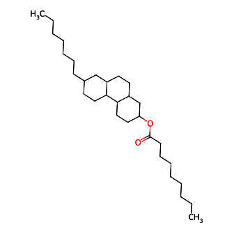 CCCCCCCCC(=O)OC1CCC2C(CCC3CC(CCCCCCC)CCC32)C1